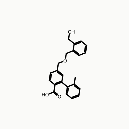 Cc1ccccc1-c1cc(COCc2ccccc2CO)ccc1C(=O)O